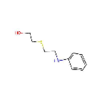 OCCSCCNc1ccccc1